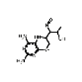 CC(O)C(N=O)C1CNc2nc(N)nc(N)c2N1